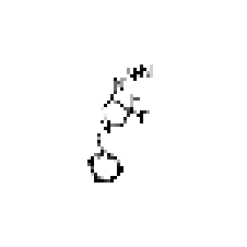 [N-]=[N+]=NC1CN(Cc2ccccc2)CC1(F)F